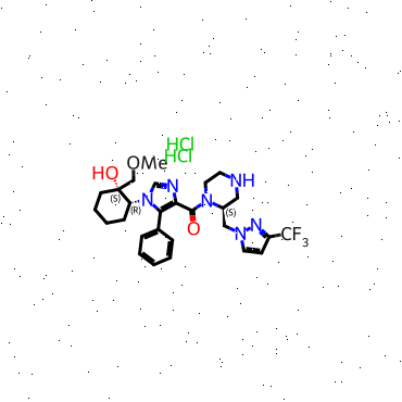 COC[C@]1(O)CCCC[C@H]1n1cnc(C(=O)N2CCNC[C@H]2Cn2ccc(C(F)(F)F)n2)c1-c1ccccc1.Cl.Cl